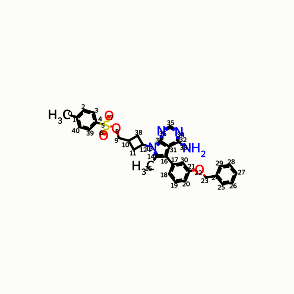 Cc1ccc(S(=O)(=O)OCC2CC(n3c(C)c(-c4cccc(OCc5ccccc5)c4)c4c(N)ncnc43)C2)cc1